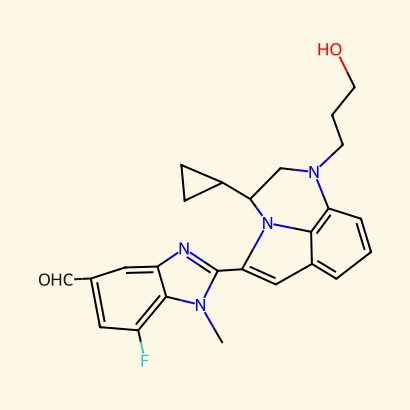 Cn1c(-c2cc3cccc4c3n2C(C2CC2)CN4CCCO)nc2cc(C=O)cc(F)c21